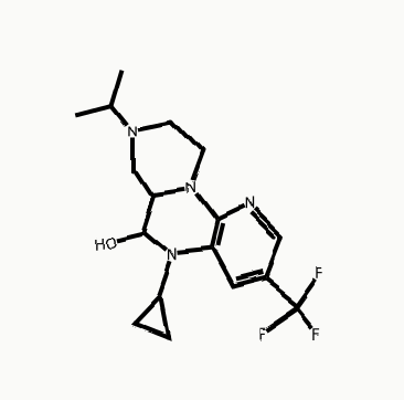 CC(C)N1CCN2c3ncc(C(F)(F)F)cc3N(C3CC3)C(O)C2C1